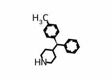 Cc1ccc([C@@H](c2ccccc2)C2CCNCC2)cc1